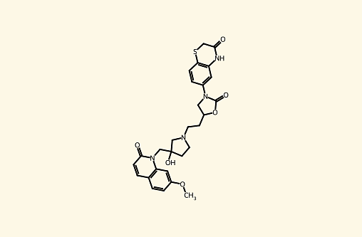 COc1ccc2ccc(=O)n(CC3(O)CCN(CCC4CN(c5ccc6c(c5)NC(=O)CS6)C(=O)O4)C3)c2c1